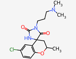 CC1CC2(NC(=O)N(CCCN(C)C)C2=O)c2cc(Cl)ccc2O1